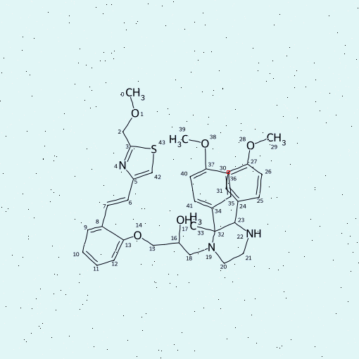 COCc1nc(/C=C/c2ccccc2OCC(O)CN2CCNC(c3ccc(OC)cc3)C2(C)c2ccc(OC)cc2)cs1